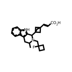 CC1Cc2c([nH]c3ccccc23)C(C23CC(/C=C/C(=O)O)(C2)C3)N1CC1(F)CCC1